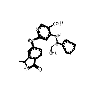 CC1NC(=O)c2ccc(Nc3cc(N[C@H](CO)c4ccccc4)c(C(=O)O)cn3)cc21